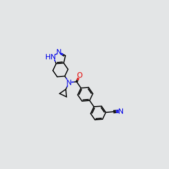 N#Cc1cccc(-c2ccc(C(=O)N(C3CC3)C3CCc4[nH]ncc4C3)cc2)c1